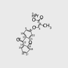 CCCOC(=O)C(C)=COc1ccc2c(=O)c3ccccc3oc2c1